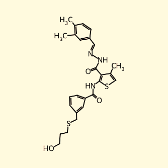 Cc1ccc(C=NNC(=O)c2c(C)csc2NC(=O)c2cccc(CSCCCO)c2)cc1C